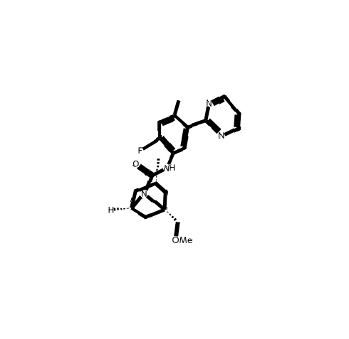 COC[C@]12C[C@@H](C)C[C@H](C1)N2C(=O)Nc1cc(-c2ncccn2)c(C)cc1F